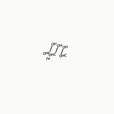 O=CO.O=CO.O=CO.[Fe]